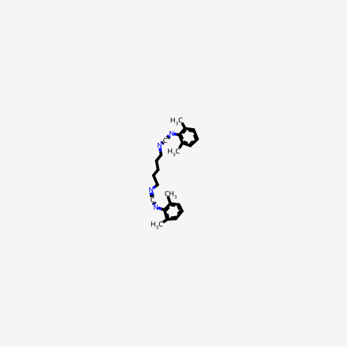 Cc1cccc(C)c1N=C=NCCCCCN=C=Nc1c(C)cccc1C